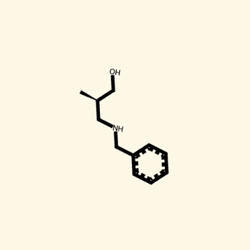 C[C@@H](CO)CNCc1ccccc1